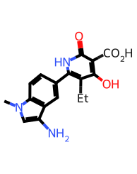 CCc1c(-c2ccc3c(c2)c(N)cn3C)[nH]c(=O)c(C(=O)O)c1O